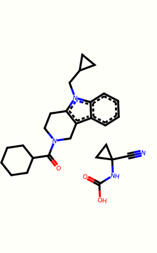 N#CC1(NC(=O)O)CC1.O=C(C1CCCCC1)N1CCc2c(c3ccccc3n2CC2CC2)C1